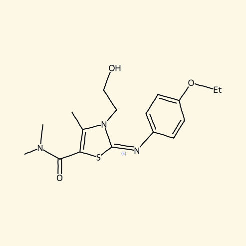 CCOc1ccc(/N=c2/sc(C(=O)N(C)C)c(C)n2CCO)cc1